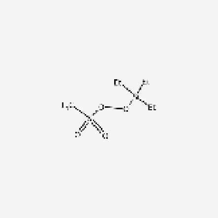 CC[Si](CC)(CC)OOS(=O)(=O)C(F)(F)F